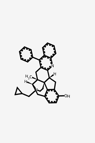 C[C@@]12Cc3c(nc4ccccc4c3-c3ccccc3)[C@@H]3Cc4c(O)ccc5c4[C@@]31CCN(CC1CC1)[C@@H]2C5